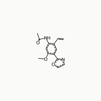 C=Cc1cc(-c2ncco2)c(OC)cc1NC(C)=O